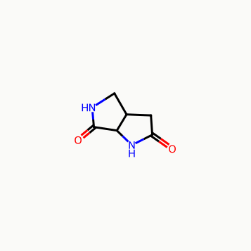 O=C1CC2CNC(=O)C2N1